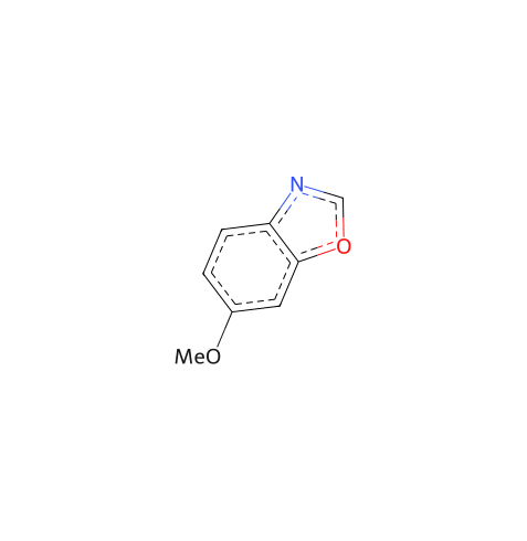 COc1ccc2ncoc2c1